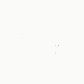 COC(=O)C(c1ccccc1Cl)N1CCc2sc(S(=O)(=O)O)cc2C1